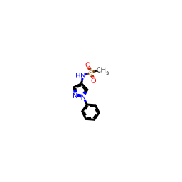 CS(=O)(=O)Nc1cnn(-c2ccccc2)c1